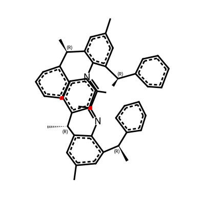 CC(=Nc1c([C@H](C)c2ccccc2)cc(C)cc1[C@H](C)c1ccccc1)C(C)=Nc1c([C@H](C)c2ccccc2)cc(C)cc1[C@H](C)c1ccccc1